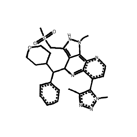 Cc1nnn(C)c1-c1ccnc2c1=NC(C(c1ccccc1)C1CCOCC1)C1=C(CS(C)(=O)=O)NN(C)C=21